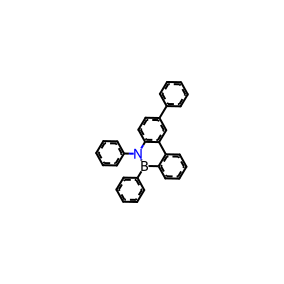 c1ccc(B2c3ccccc3-c3cc(-c4ccccc4)ccc3N2c2ccccc2)cc1